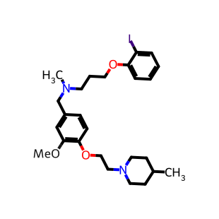 COc1cc(CN(C)CCCOc2ccccc2I)ccc1OCCN1CCC(C)CC1